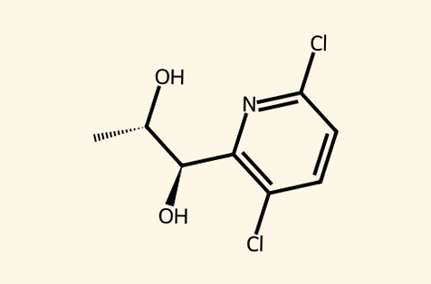 C[C@H](O)[C@H](O)c1nc(Cl)ccc1Cl